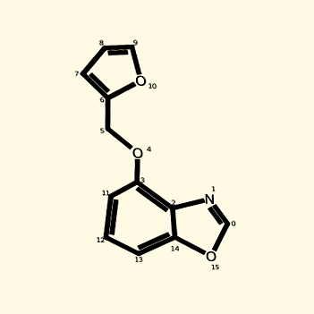 [c]1nc2c(OCc3ccco3)cccc2o1